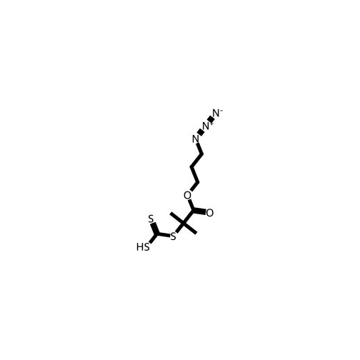 CC(C)(SC(=S)S)C(=O)OCCCN=[N+]=[N-]